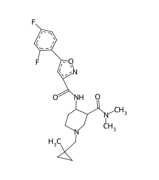 CN(C)C(=O)C1CN(CC2(C)CC2)CCC1NC(=O)c1cc(-c2ccc(F)cc2F)on1